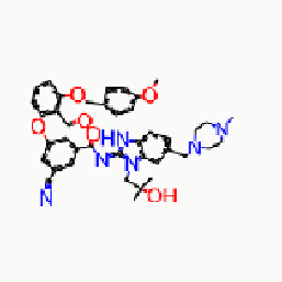 COc1ccc(COc2cccc(Oc3cc(C#N)cc(C(=O)/N=c4\[nH]c5ccc(CN6CCN(C)CC6)cc5n4CC(C)(C)O)c3)c2C=O)cc1